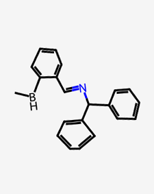 CBc1ccccc1/C=N/C(c1ccccc1)c1ccccc1